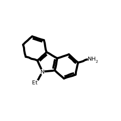 CCn1c2c(c3cc(N)ccc31)C=CCC2